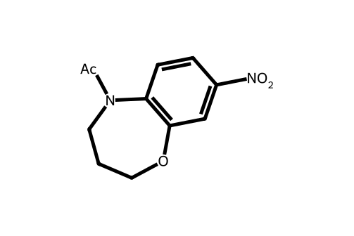 CC(=O)N1CCCOc2cc([N+](=O)[O-])ccc21